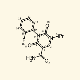 CC(C)n1cc(C(N)=O)c(=O)n(-c2ccccc2F)c1=O